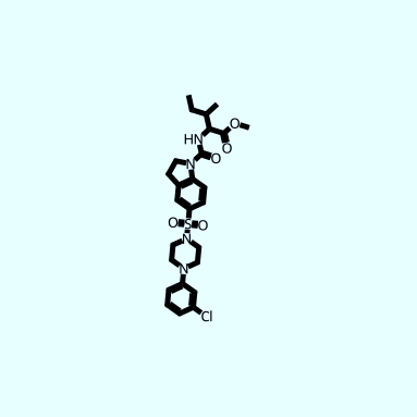 CCC(C)C(NC(=O)N1CCc2cc(S(=O)(=O)N3CCN(c4cccc(Cl)c4)CC3)ccc21)C(=O)OC